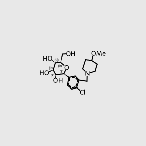 COC1CCN(Cc2cc([C@@H]3O[C@H](CO)[C@@H](O)[C@H](O)[C@H]3O)ccc2Cl)CC1